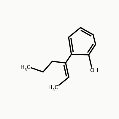 CC=C(CCC)c1ccccc1O